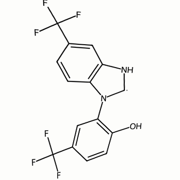 Oc1ccc(C(F)(F)F)cc1N1[CH]Nc2cc(C(F)(F)F)ccc21